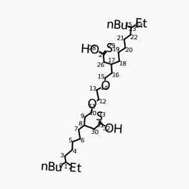 CCCCC(CC)CCCCCC(CCOCCOCCC(CCCCCC(CC)CCCC)CC(O)=S)CC(O)=S